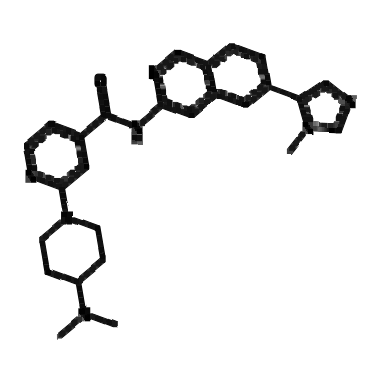 CN(C)C1CCN(c2cc(C(=O)Nc3cc4cc(-c5cncn5C)ccc4cn3)ccn2)CC1